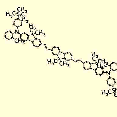 Cc1ccccc1N(c1ccc([Si](C)(C)C)cc1)c1ccc2c(c1)C(C)(C)c1cc(/C=C/c3ccc4c(c3)C(C)(C)c3cc(/C=C/c5ccc6c(c5)C(C)(C)c5cc(N(c7ccc([Si](C)(C)C)cc7)c7ccccc7C)ccc5-6)ccc3-4)ccc1-2